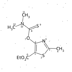 CCOC(=O)c1sc(C)nc1OC(=S)N(C)C